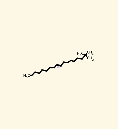 [CH2]C(C)(C)CCCCCC/C=C/CCCCCCCC